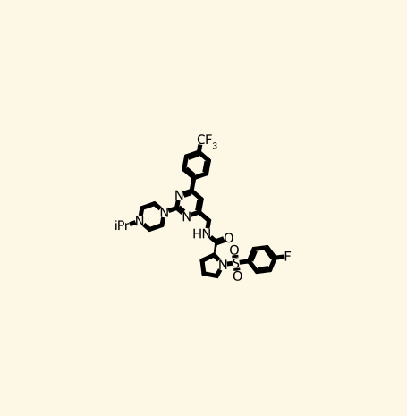 CC(C)N1CCN(c2nc(CNC(=O)[C@@H]3CCCN3S(=O)(=O)c3ccc(F)cc3)cc(-c3ccc(C(F)(F)F)cc3)n2)CC1